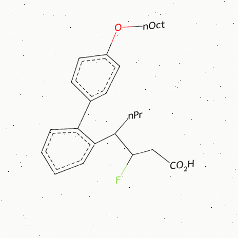 CCCCCCCCOc1ccc(-c2ccccc2C(CCC)C(F)CC(=O)O)cc1